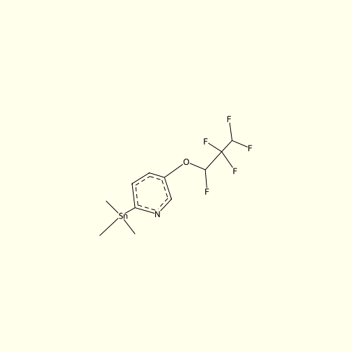 [CH3][Sn]([CH3])([CH3])[c]1ccc(OC(F)C(F)(F)C(F)F)cn1